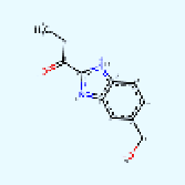 CCC(=O)c1nc2cc(CO)ccc2[nH]1